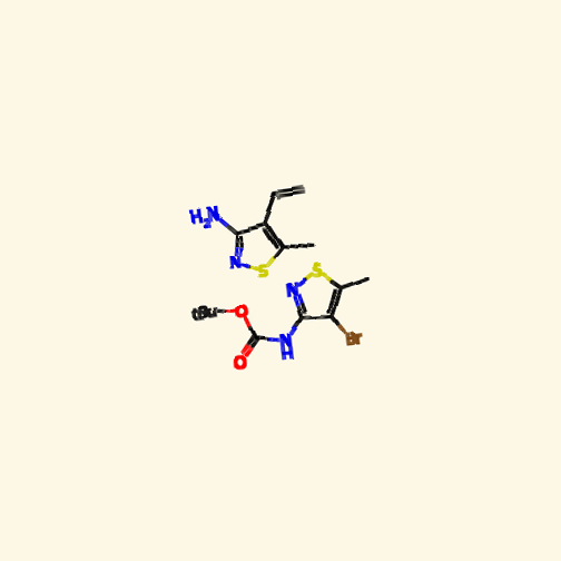 C=Cc1c(N)nsc1C.Cc1snc(NC(=O)OC(C)(C)C)c1Br